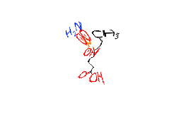 CCC(CCCC(=O)O)P(=O)(O)ON